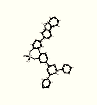 O=S1(=O)Cc2cc(-c3cc(-c4ccccc4)nc(-c4ccccc4)c3)ccc2-c2cc(-c3ccc4c(c3)oc3ccccc34)ccc2C1